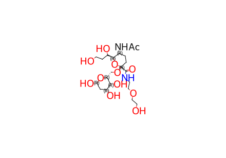 CC(=O)N[C@@H]1CC[C@](OC[C@H]2O[C@@H](O)C[C@@H](O)[C@H]2O)(C(=O)NCCOCCO)O[C@H]1C(O)CCO